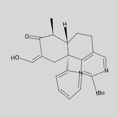 C[C@@H]1C(=O)/C(=C\O)C[C@]2(c3ccccc3)c3nc(C(C)(C)C)ncc3CC[C@@H]12